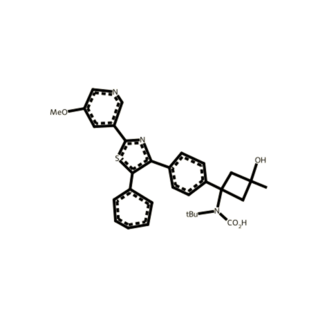 COc1cncc(-c2nc(-c3ccc(C4(N(C(=O)O)C(C)(C)C)CC(C)(O)C4)cc3)c(-c3ccccc3)s2)c1